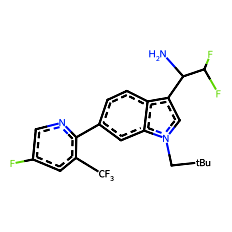 CC(C)(C)Cn1cc(C(N)C(F)F)c2ccc(-c3ncc(F)cc3C(F)(F)F)cc21